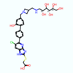 O=C(O)CSc1nc2nc(-c3ccc(-c4ccc(CN5CC(CNC[C@@H](O)C(O)[C@@H](O)[C@@H](O)CO)C5)cc4O)cc3)c(Cl)cc2[nH]1